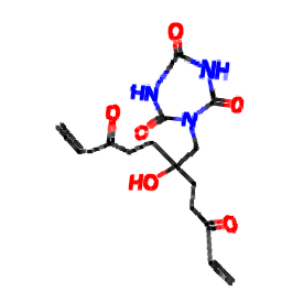 C=CC(=O)CCC(O)(CCC(=O)C=C)Cn1c(=O)[nH]c(=O)[nH]c1=O